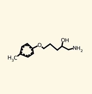 Cc1ccc(OCCCC(O)CN)cc1